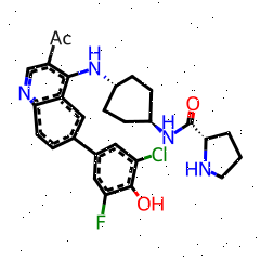 CC(=O)c1cnc2ccc(-c3cc(F)c(O)c(Cl)c3)cc2c1N[C@H]1CC[C@H](NC(=O)[C@@H]2CCCN2)CC1